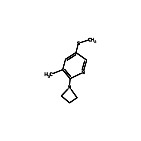 CSc1cnc(N2CCC2)c(C)c1